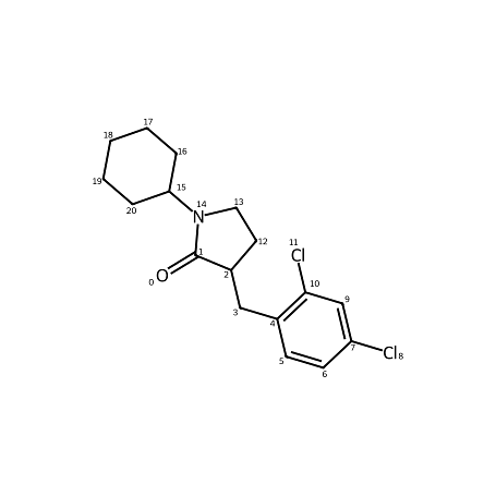 O=C1C(Cc2ccc(Cl)cc2Cl)CCN1C1CCCCC1